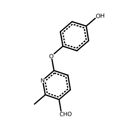 Cc1nc(Oc2ccc(O)cc2)ccc1C=O